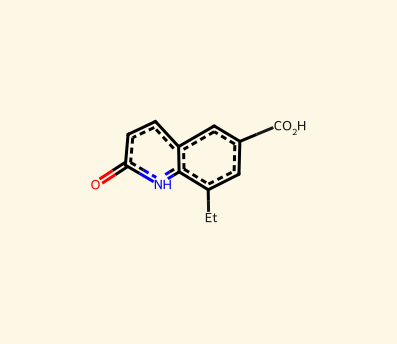 CCc1cc(C(=O)O)cc2ccc(=O)[nH]c12